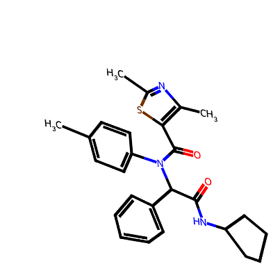 Cc1ccc(N(C(=O)c2sc(C)nc2C)C(C(=O)NC2CCCC2)c2ccccc2)cc1